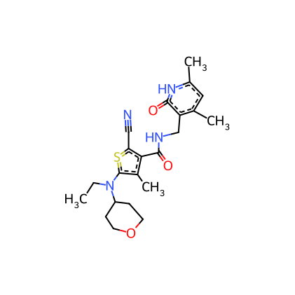 CCN(c1sc(C#N)c(C(=O)NCc2c(C)cc(C)[nH]c2=O)c1C)C1CCOCC1